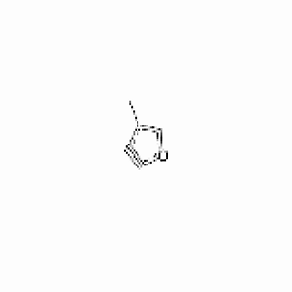 Cc1c#coc1